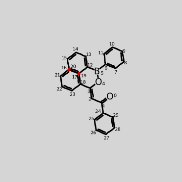 O=C(/C=C(\OB(c1ccccc1)c1ccccc1)c1ccccc1)c1ccccc1